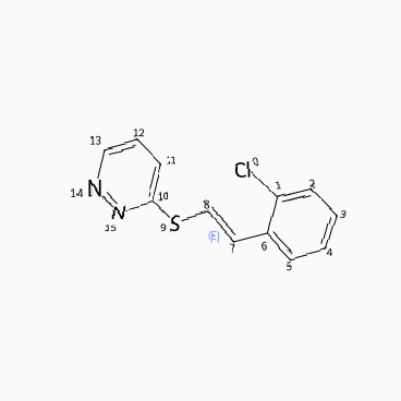 Clc1ccccc1/C=C/Sc1cccnn1